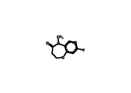 CN1C(=O)CCOc2cc(F)ncc21